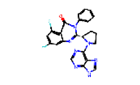 O=c1c2c(F)cc(F)cc2nc([C@@H]2CCCN2c2ncnc3[nH]cnc23)n1-c1ccccc1